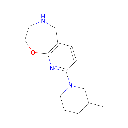 CC1CCCN(c2ccc3c(n2)OCCNC3)C1